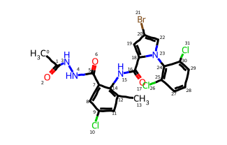 CC(=O)NNC(=O)c1cc(Cl)cc(C)c1NC(=O)c1cc(Br)cn1-c1c(Cl)cccc1Cl